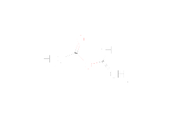 [2H]C(=C)OC(C)=O